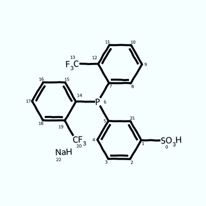 O=S(=O)(O)c1cccc(P(c2ccccc2C(F)(F)F)c2ccccc2C(F)(F)F)c1.[NaH]